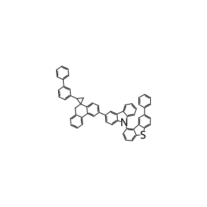 c1ccc(-c2cccc(C3CC34Cc3ccccc3-c3cc(-c5ccc6c(c5)c5ccccc5n6-c5cccc6sc7ccc(-c8ccccc8)cc7c56)ccc34)c2)cc1